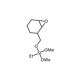 CC[Si](OC)(OC)OCC1CCCC2OC12